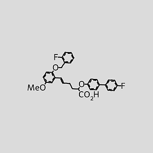 COc1ccc(OCc2ccccc2F)c(C=CCCC(Oc2ccc(-c3ccc(F)cc3)cc2)C(=O)O)c1